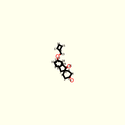 O=C1CCC2(CC1)Cc1ccc(OCC3CCC3)cc1C2=O